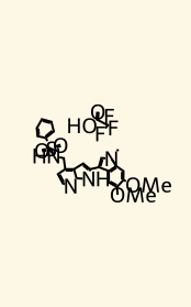 COc1cc2c(-c3cc4c(CNS(=O)(=O)c5ccccc5)ccnc4[nH]3)cn(C)c2cc1OC.O=C(O)C(F)(F)F